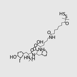 CC(C)(C)NC(Cc1ccc(O)c(I)c1)C(=O)NC(Cc1ccccc1)C(=O)NC(CCCCNC(=O)CCCCCCC(=O)C(C)(C)SS)C(=O)O